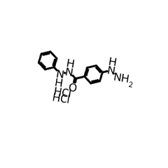 Cl.Cl.NNc1ccc(C(=O)NNc2ccccc2)cc1